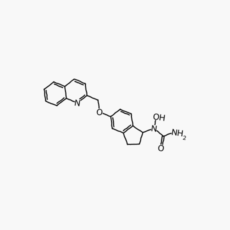 NC(=O)N(O)C1CCc2cc(OCc3ccc4ccccc4n3)ccc21